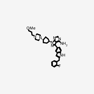 COCCCN1CCN([C@H]2CC[C@H](n3nc(-c4ccc5[nH]c(Cc6ccccc6F)cc5c4)c4c(N)ncnc43)CC2)CC1